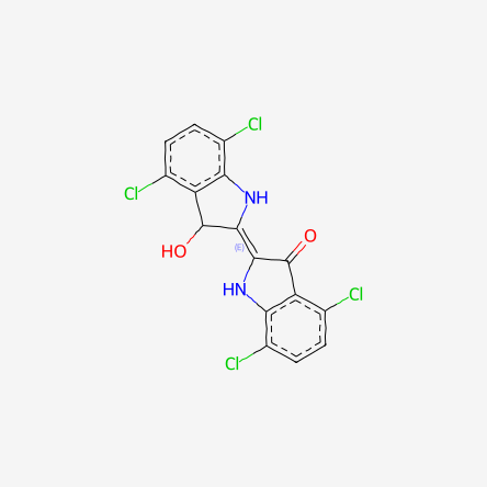 O=C1/C(=C2\Nc3c(Cl)ccc(Cl)c3C2O)Nc2c(Cl)ccc(Cl)c21